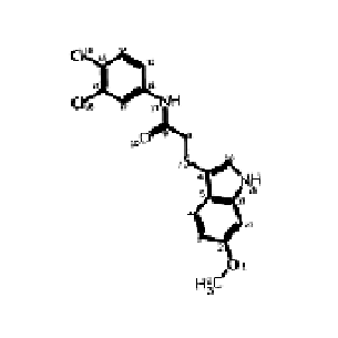 COc1ccc2c(SCC(=O)Nc3ccc(Cl)c(Cl)c3)c[nH]c2c1